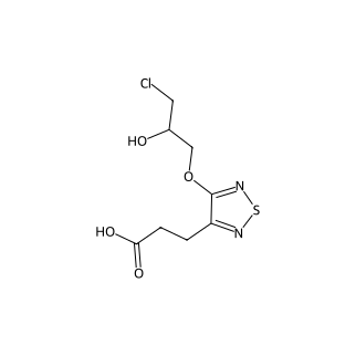 O=C(O)CCc1nsnc1OCC(O)CCl